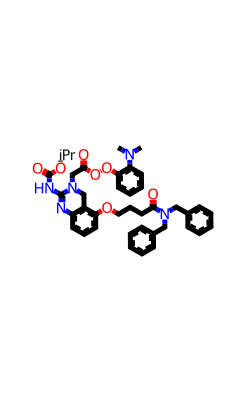 CC(C)OC(=O)NC1=Nc2cccc(OCCCC(=O)N(Cc3ccccc3)Cc3ccccc3)c2CN1CC(=O)OOc1ccccc1N(C)C